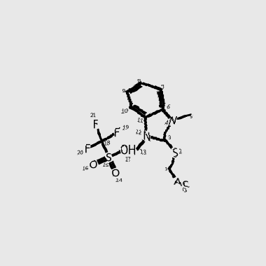 CC(=O)CSC1N(C)c2ccccc2N1C.O=S(=O)(O)C(F)(F)F